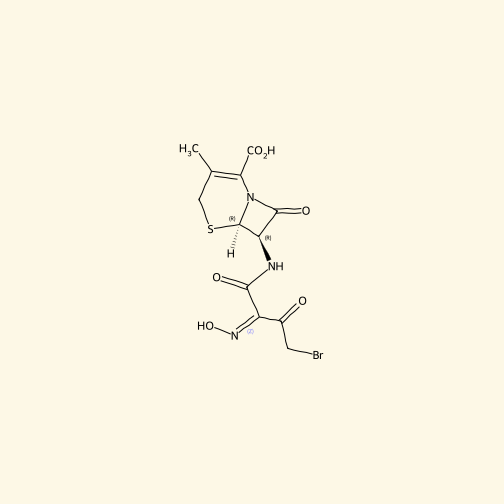 CC1=C(C(=O)O)N2C(=O)[C@@H](NC(=O)/C(=N\O)C(=O)CBr)[C@H]2SC1